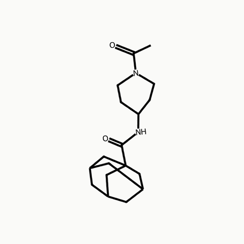 CC(=O)N1CCC(NC(=O)C23CC4CC(CC(C4)C2)C3)CC1